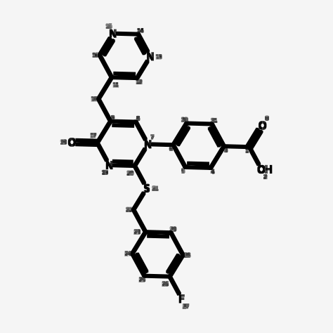 O=C(O)c1ccc(-n2cc(Cc3cncnc3)c(=O)nc2SCc2ccc(F)cc2)cc1